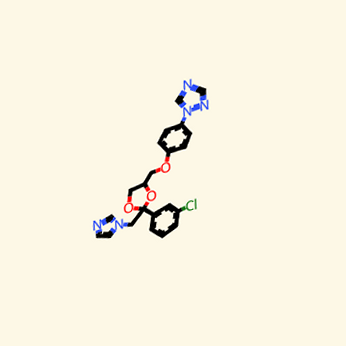 Clc1cccc(C2(Cn3ccnc3)OCC(COc3ccc(-n4cncn4)cc3)O2)c1